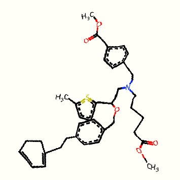 COC(=O)CCCCN(Cc1ccc(C(=O)OC)cc1)CC(OCc1ccc(CCC2=CC=CCC2)cc1)c1ccc(C)s1